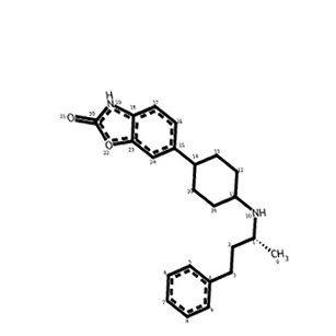 C[C@H](CCc1ccccc1)NC1CCC(c2ccc3[nH]c(=O)oc3c2)CC1